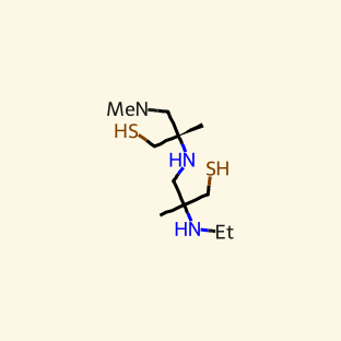 CCNC(C)(CS)CN[C@](C)(CS)CNC